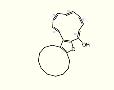 O\C1=C/C=C\C=C\C=C/C=C/c2c1oc1c2CCCCCCCCCC1